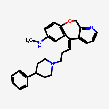 CNc1ccc2c(c1)C(=CCCN1CCC(c3ccccc3)CC1)c1cccnc1CO2